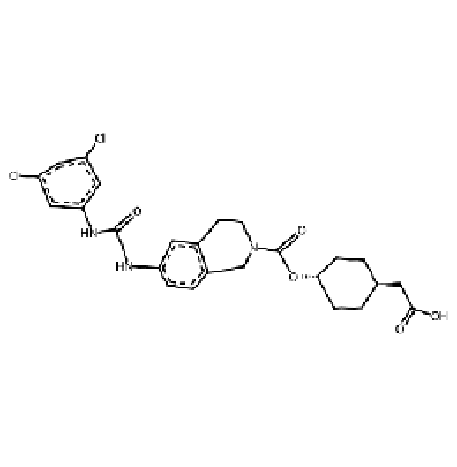 O=C(O)C[C@H]1CC[C@H](OC(=O)N2CCc3cc(NC(=O)Nc4cc(Cl)cc(Cl)c4)ccc3C2)CC1